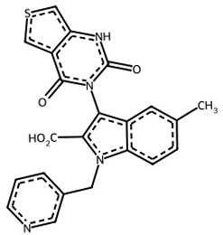 Cc1ccc2c(c1)c(-n1c(=O)[nH]c3cscc3c1=O)c(C(=O)O)n2Cc1cccnc1